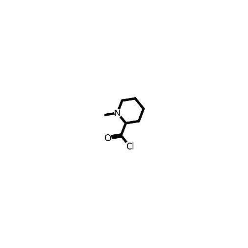 CN1CCCCC1C(=O)Cl